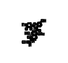 CCN1CCN(C(=O)NC(C(=O)NC(OC(C)=O)C2=C(C(=O)O)N3C(=O)[C@H](NC=O)[C@H]3SC2)c2ccc(O)cc2)C(=O)C1=O